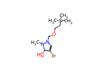 CN1C(O)C(Br)=CN1COCC[Si](C)(C)C